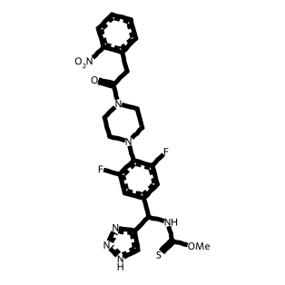 COC(=S)NC(c1cc(F)c(N2CCN(C(=O)Cc3ccccc3[N+](=O)[O-])CC2)c(F)c1)c1c[nH]nn1